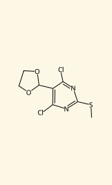 CSc1nc(Cl)c(C2OCCO2)c(Cl)n1